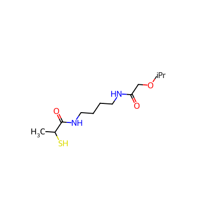 CC(C)OCC(=O)NCCCCNC(=O)C(C)S